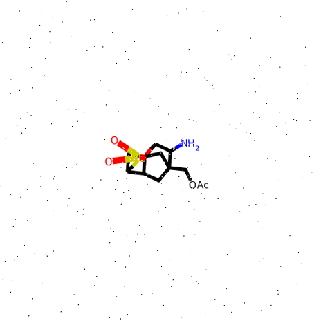 CC(=O)OCC12CC3C4CC3(C1)C(OS4(=O)=O)C2N